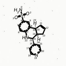 NS(=O)(=O)c1ccc2c(c1)[C@H]1C=CC[C@H]1[C@@H](c1ccncc1)N2